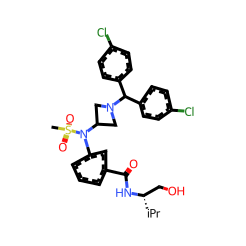 CC(C)[C@@H](CO)NC(=O)c1cccc(N(C2CN(C(c3ccc(Cl)cc3)c3ccc(Cl)cc3)C2)S(C)(=O)=O)c1